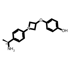 C[C@H](N)c1ccc(N2CC(Oc3ccc(O)cc3)C2)cc1